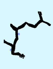 CCC/C=C(I)\C=C(/C)CCC(C)Cl